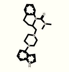 CN(C)C(=O)N1c2ccccc2CCC1CN1CCN(c2cccc3[nH]ccc23)CC1